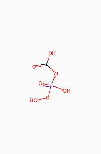 O=C(O)OP(=O)(O)OO